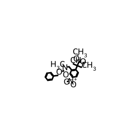 CCOC(=O)C(CC)(CC)c1ccc([N+](=O)[O-])cc1CN(C)C(=O)OCc1ccccc1